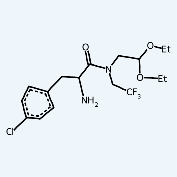 CCOC(CN(CC(F)(F)F)C(=O)C(N)Cc1ccc(Cl)cc1)OCC